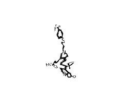 COc1ccc2nccc([C@@H](F)CCC3CCN(CCCSc4ccc(C(F)(F)F)cc4)CC3CCC(=O)O)c2c1